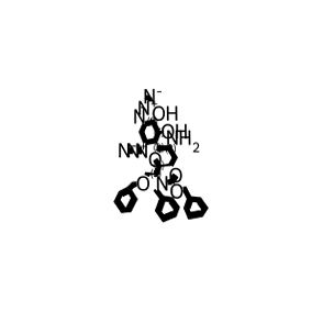 [N-]=[N+]=NC1CC(N=[N+]=[N-])[C@H](O)[C@@H](O)C1[C@H]1O[C@H]([C@H](COCc2ccccc2)N(Cc2ccccc2)C(=O)OCc2ccccc2)CC[C@H]1N